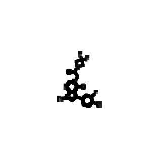 CCn1cc(-c2ccc(Cl)c(F)c2)c2c(=O)n(CC(=O)N3CC(F)(F)C3)cnc21